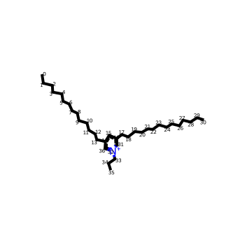 CCCCCCCCCCCCCCc1cc(CCCCCCCCCCCCCC)c[n+](CCC)c1